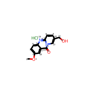 COc1ccc2nc3ccc(CO)cn3c(=O)c2c1.Cl